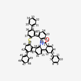 O=c1c2ccc(-c3ccccc3)cc2c2cccc3c2n1-c1ccccc1-c1cc(-c2ccccc2)ccc1Sc1ccc(-c2ccccc2)cc1-3